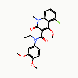 CCN(C(=O)c1c(OC)c2c(F)cccc2n(C)c1=O)c1ccc(OC)c(OC)c1